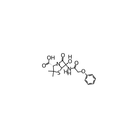 CC1(C)S[C@H]2N(C(=O)[C@]2(O)NC(=O)COc2ccccc2)[C@H]1C(=O)O